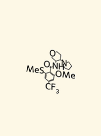 COc1cc(C(F)(F)F)cc(SC)c1C(=O)NC1COCCC1N1CCCC1